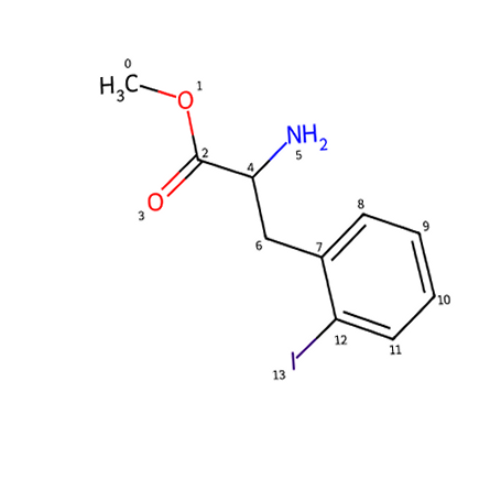 COC(=O)C(N)Cc1ccccc1I